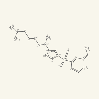 C\C=C/C=C(\C=C/C)S(=O)(=O)c1cn(N(C)SSCCN(C)C)nn1